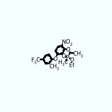 CCOP(C)(=O)C(C)Oc1cc(Oc2ccc(C(F)(F)F)cc2C)ccc1[N+](=O)[O-]